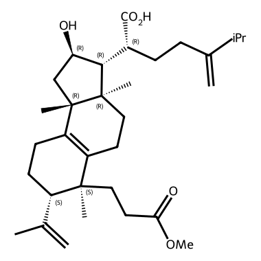 C=C(CC[C@@H](C(=O)O)[C@H]1[C@H](O)C[C@@]2(C)C3=C(CC[C@]12C)[C@@](C)(CCC(=O)OC)[C@H](C(=C)C)CC3)C(C)C